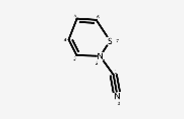 N#CN1C=CC=CS1